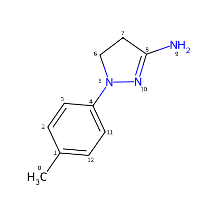 Cc1ccc(N2CCC(N)=N2)cc1